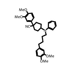 COc1ccc(CCCCN(c2ccccc2)C2CCC(C#N)(c3ccc(OC)c(OC)c3)CC2)cc1OC